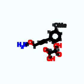 COc1cccc(C#CCON)c1.O=C(O)C(=O)O